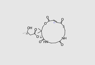 C[C@H](O)CC(=O)O[C@H]1C(=O)NCCC(=O)NCCSC(=O)/C=C/C(=O)OCC1(C)C